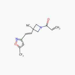 C=CC(=O)N1CC(C#N)(/C=C/c2cc(C(F)(F)F)on2)C1